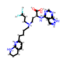 O=C(O)[C@H](CCN(CCCCc1ccc2c(n1)NCCC2)CCC(F)F)Nc1ncnc2[nH]ncc12